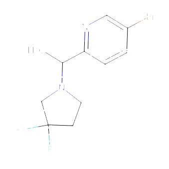 CC(c1ccc(Br)cn1)N1CCC(F)(F)C1